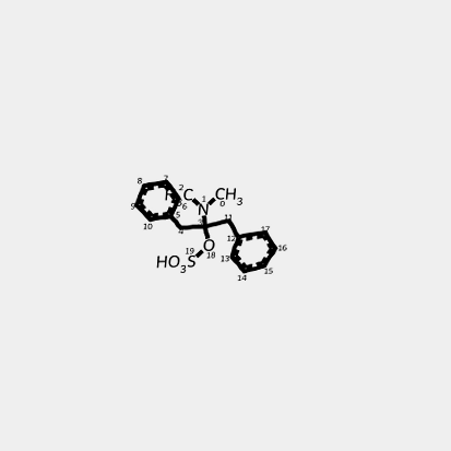 CN(C)C(Cc1ccccc1)(Cc1ccccc1)OS(=O)(=O)O